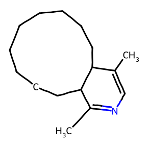 CC1=CN=C(C)C2CCCCCCCCCC12